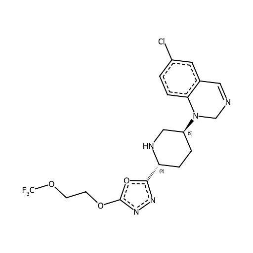 FC(F)(F)OCCOc1nnc([C@H]2CC[C@H](N3CN=Cc4cc(Cl)ccc43)CN2)o1